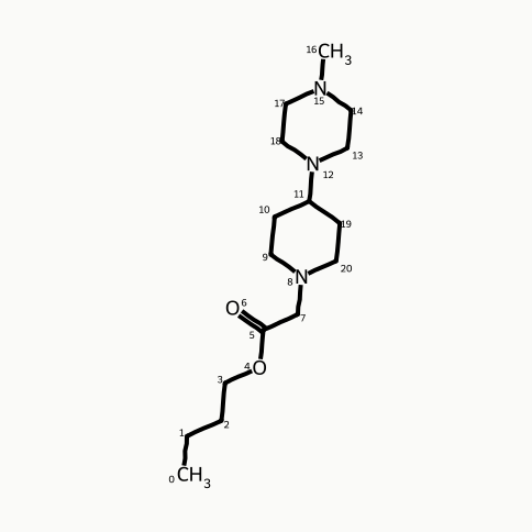 CCCCOC(=O)CN1CCC(N2CCN(C)CC2)CC1